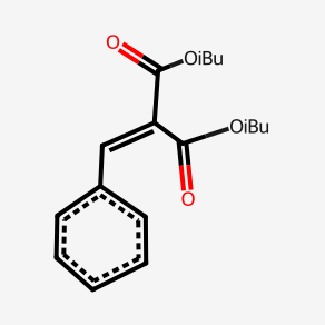 CC(C)COC(=O)C(=Cc1ccccc1)C(=O)OCC(C)C